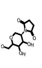 O=C1CCC(=O)N1[C@@H]1COC(CO)C(O)C1O